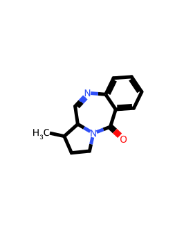 CC1CCN2C(=O)c3ccccc3N=CC12